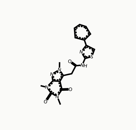 Cn1nc2c(c1CC(=O)Nc1nc(-c3ccccc3)cs1)c(=O)n(C)c(=O)n2C